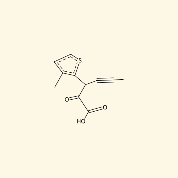 CC#CC(C(=O)C(=O)O)c1sccc1C